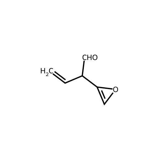 C=CC(C=O)C1=CO1